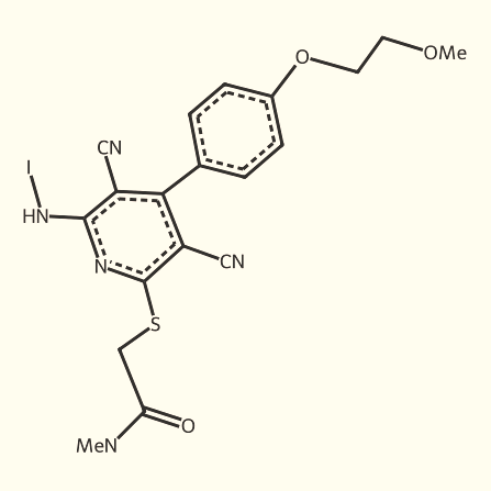 CNC(=O)CSc1nc(NI)c(C#N)c(-c2ccc(OCCOC)cc2)c1C#N